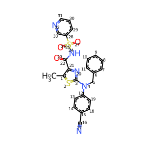 Cc1sc(N(Cc2ccccc2)c2ccc(C#N)cc2)nc1C(=O)NS(=O)(=O)c1cccnc1